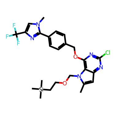 Cc1cc2nc(Cl)nc(OCc3ccc(-c4nc(C(F)(F)F)cn4C)cc3)c2n1COCC[Si](C)(C)C